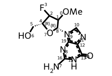 COC1C(F)[C@@H](CO)O[C@H]1n1cnc2c(=O)[nH]c(N)nc21